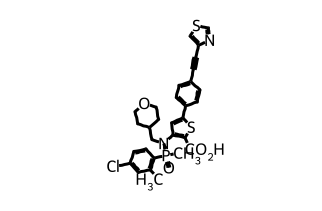 Cc1cc(Cl)ccc1P(C)(=O)N(CC1CCOCC1)c1cc(-c2ccc(C#Cc3cscn3)cc2)sc1C(=O)O